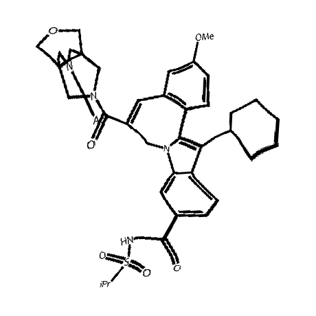 COc1ccc2c(c1)C=C(C(=O)N1CC34COCC3(CN(C(C)=O)C4)C1)Cn1c-2c(C2CCCCC2)c2ccc(C(=O)NS(=O)(=O)C(C)C)cc21